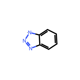 c1ccc2c(c1)[N]N=N2